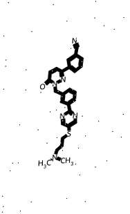 CN(C)CCCSc1cnc(-c2cccc(Cn3nc(-c4cccc(C#N)c4)ccc3=O)c2)nc1